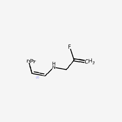 C=C(F)CN/C=C\CCC